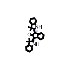 CC1(C)/C(=C2\C(=O)/C(=C3/Nc4ccccc4C3(C)C)c3ccccc32)Nc2ccccc21